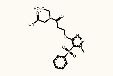 C[n+]1onc(OCCC(=O)N(CC(=O)O)CC(=O)N=O)c1S(=O)(=O)c1ccccc1